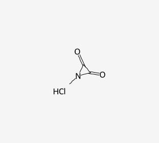 Cl.Cn1c(=O)c1=O